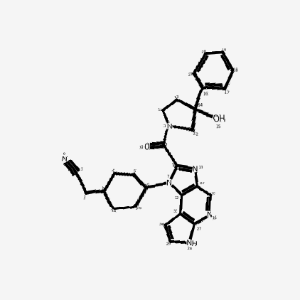 N#CCC1CCC(n2c(C(=O)N3CCC(O)(c4ccccc4)C3)nc3cnc4[nH]ccc4c32)CC1